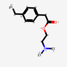 CCN(CC)CCOC(=O)Cc1ccc(CC(C)C)cc1